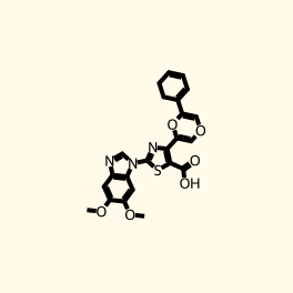 COc1cc2ncn(-c3nc(C4=COC=C(C5=CC=CCC5)O4)c(C(=O)O)s3)c2cc1OC